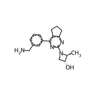 C[C@H]1[C@H](O)CN1c1nc2c(c(-c3cccc(CN)c3)n1)CCC2